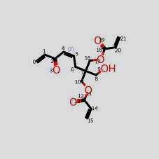 C=CC(=O)/C=C\CC(CO)(COC(=O)C=C)COC(=O)C=C